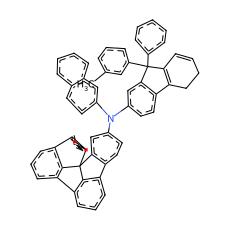 Cc1cccc(C2(c3ccccc3)C3=C(CCC=C3)c3ccc(N(c4ccc5c(c4)C46c7ccccc7-c7cccc(c74)-c4cccc-5c46)c4ccc5ccccc5c4)cc32)c1